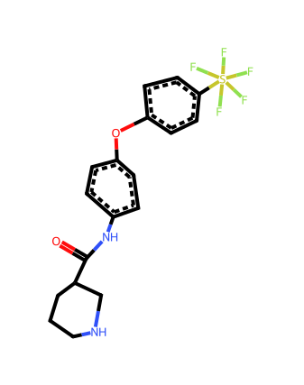 O=C(Nc1ccc(Oc2ccc(S(F)(F)(F)(F)F)cc2)cc1)C1CCCNC1